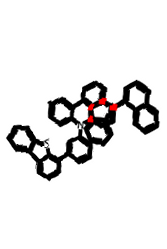 c1cc(-c2cccc3c2sc2ccccc23)cc(N(c2ccc(-c3cccc4ccccc34)cc2)c2ccccc2-c2cccc3sc4ccccc4c23)c1